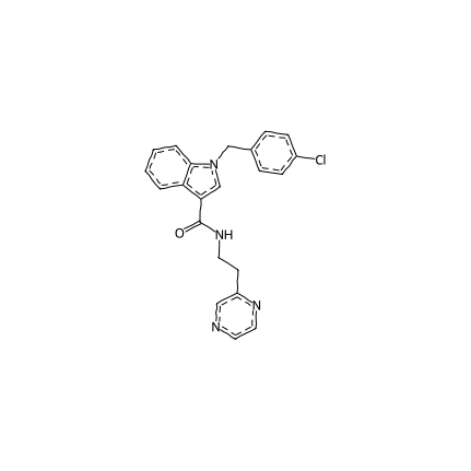 O=C(NCCc1cnccn1)c1cn(Cc2ccc(Cl)cc2)c2ccccc12